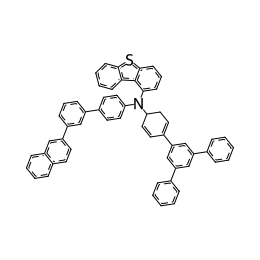 C1=CC(N(c2ccc(-c3cccc(-c4ccc5ccccc5c4)c3)cc2)c2cccc3sc4ccccc4c23)CC=C1c1cc(-c2ccccc2)cc(-c2ccccc2)c1